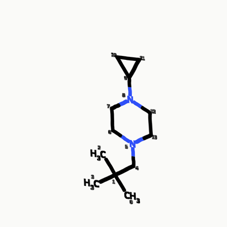 CC(C)(C)CN1CCN(C2CC2)CC1